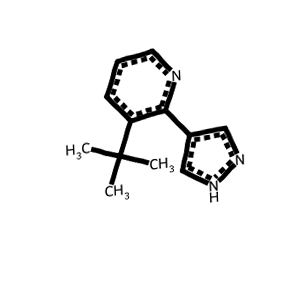 CC(C)(C)c1cccnc1-c1cn[nH]c1